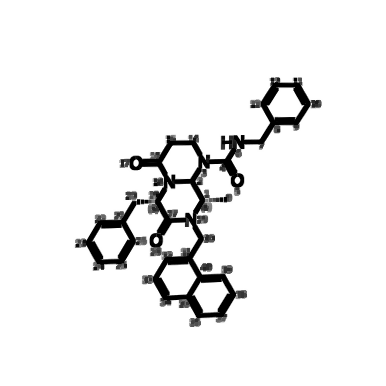 C[C@H]1C2N(C(=O)NCc3ccccc3)CCC(=O)N2[C@@H](Cc2cc[c]cc2)C(=O)N1Cc1cccc2ccccc12